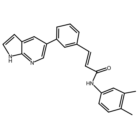 Cc1ccc(NC(=O)C=Cc2cccc(-c3cnc4[nH]ccc4c3)c2)cc1C